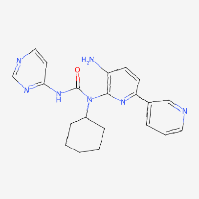 Nc1ccc(-c2cccnc2)nc1N(C(=O)Nc1ccncn1)C1CCCCC1